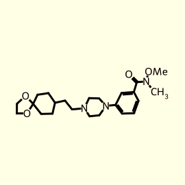 CON(C)C(=O)c1cccc(N2CCN(CCC3CCC4(CC3)OCCO4)CC2)c1